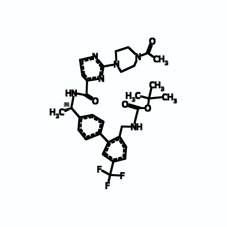 CC(=O)N1CCN(c2nccc(C(=O)N[C@H](C)c3ccc(-c4cc(C(F)(F)F)ccc4CNC(=O)OC(C)(C)C)cc3)n2)CC1